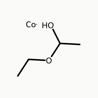 CCOC(C)O.[Co]